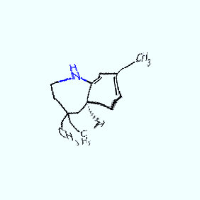 CC1=CC[C@@H]2C(=C1)NCCC2(C)C